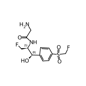 NCC(=O)N[C@H](CF)[C@H](O)c1ccc(S(=O)(=O)CF)cc1